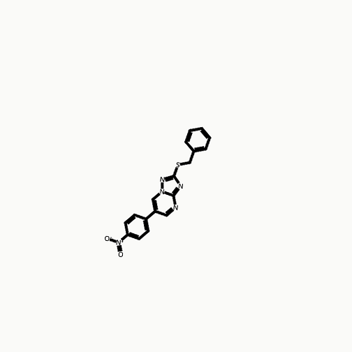 O=[N+]([O-])c1ccc(-c2cnc3nc(SCc4ccccc4)nn3c2)cc1